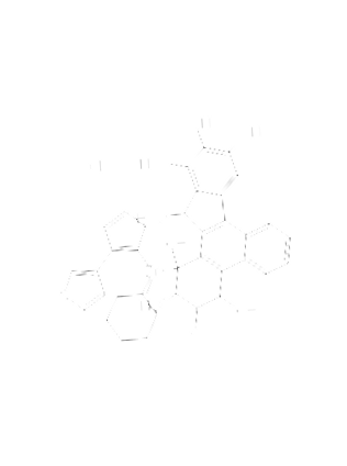 Cc1cc2c(c(C)c1C)C(C)c1c3c(c4ccccc4c1-2)C(C)C(C)C(C)[C]3(C)[Zr+2]([C]1=C(c2ccsc2)C=CC1)=[C]1CCCCC1.[Cl-].[Cl-]